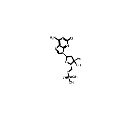 CC(=O)[C@]1(O)C[C@H](n2cnc3c(N)nc(Cl)nc32)O[C@@H]1COP(=O)(O)O